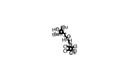 CC(C)(C)c1cc(CCC(=O)NCCNc2c(Cl)c(Cl)c(C#N)c(Cl)c2Cl)cc(C(C)(C)C)c1O